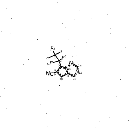 CC(C)(F)C(F)(F)c1c(C#N)cc2cncnn12